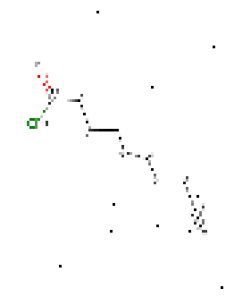 C#CCCCCCCCC(=O)Cl